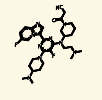 CN(C)CCN(c1nc(-c2cnc3ccc(F)cn23)nc(N2CCC(N(C)C)CC2)c1F)C1CCCN(C(=O)CC#N)C1